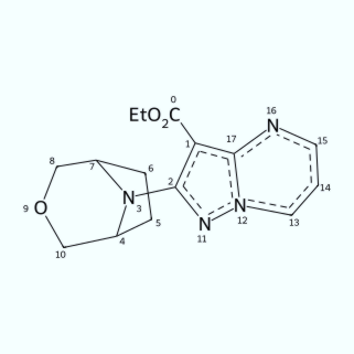 CCOC(=O)c1c(N2C3CCC2COC3)nn2cccnc12